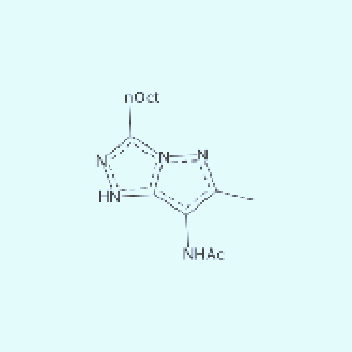 CCCCCCCCc1n[nH]c2c(NC(C)=O)c(C)nn12